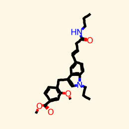 CCCNC(=O)CC=Cc1ccc2c(c1)c(Cc1ccc(C(=O)OC)cc1OC)cn2CCC